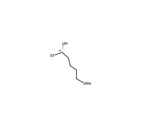 CCC[C@@H](CC)CCCCSC